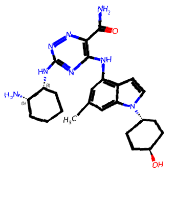 Cc1cc(Nc2nc(N[C@@H]3CCCC[C@@H]3N)nnc2C(N)=O)c2ccn([C@H]3CC[C@H](O)CC3)c2c1